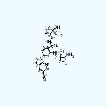 CC(C)(CN)CNc1cc(-n2ncc3cc(C#N)cnc32)ncc1C(=O)NCC(F)C(C)(C)O